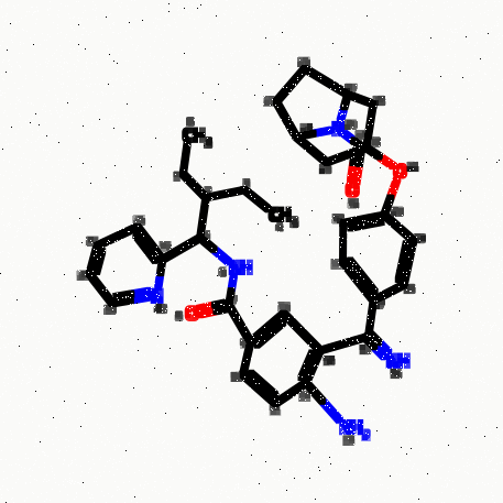 CCC(CC)C(NC(=O)c1ccc(N)c(C(=N)c2ccc(OC3CC4CCC(C3)N4C=O)cc2)c1)c1ccccn1